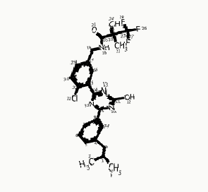 CC(C)Cc1cccc(-c2nc(O)nc(-c3cc(CNC(=O)C(C)(C)C(F)(F)F)ccc3Cl)n2)c1